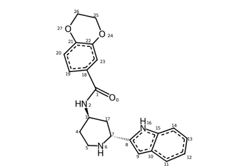 O=C(N[C@@H]1CCN[C@@H](c2cc3ccccc3[nH]2)C1)c1ccc2c(c1)OCCO2